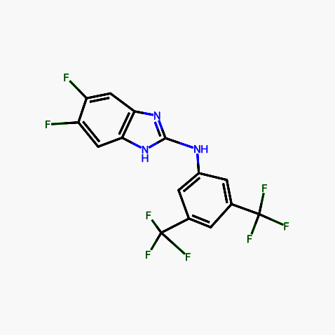 Fc1cc2nc(Nc3cc(C(F)(F)F)cc(C(F)(F)F)c3)[nH]c2cc1F